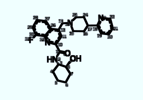 O=C(N[C@H]1CCCC[C@@H]1O)c1cc(CN2CCC(c3ccccn3)CC2)c2cccc(F)c2n1